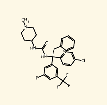 CN1CCC(NC(=O)N[C@](Cc2ccccc2)(c2cc(F)cc(C(F)(F)F)c2)c2ccc(Cl)cn2)CC1